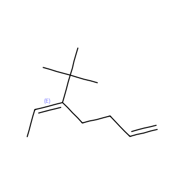 C=CCC/C(=C\C)C(C)(C)C